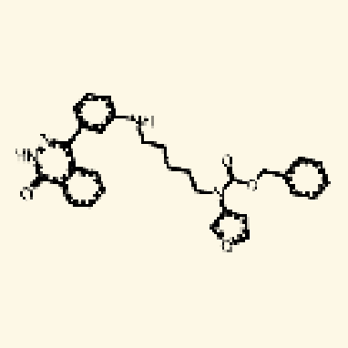 O=C(OCc1ccccc1)N(CCCCCNc1cccc(-c2n[nH]c(=O)c3ccccc23)c1)c1ccoc1